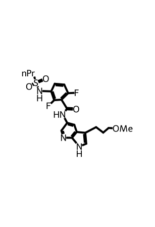 CCCS(=O)(=O)Nc1ccc(F)c(C(=O)Nc2cnc3[nH]cc(CCCOC)c3c2)c1F